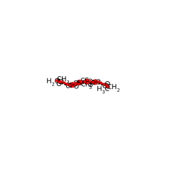 C=C(C)C(=O)OCCCCOc1ccc(C(=O)Oc2ccc(C(c3ccc(OC(=O)c4ccc(OCCCCOC(=O)C(=C)C)cc4)cc3)(C(F)(F)F)C(F)(F)F)cc2)cc1